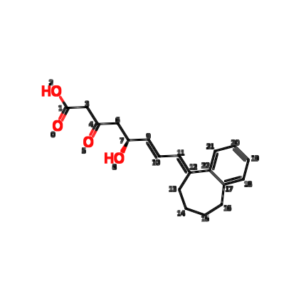 O=C(O)CC(=O)C[C@H](O)C=CC=C1CCCCc2ccccc21